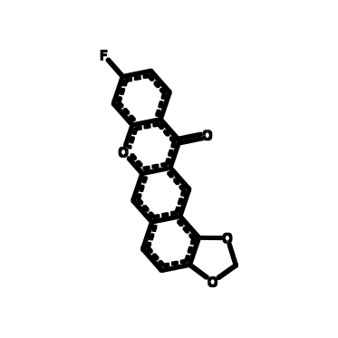 O=c1c2ccc(F)cc2oc2cc3ccc4c(c3cc12)OCO4